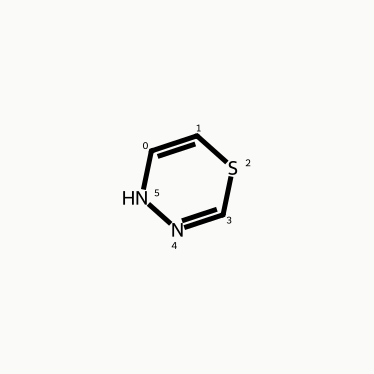 C1=CSC=NN1